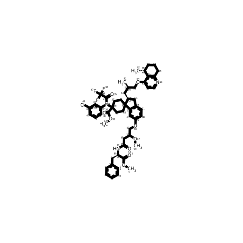 COC(=O)[C@@H](Cc1ccccc1)NC(=O)CC(COc1ccc2c(c1)C1(CCC(C(=O)OC)(N(C(=O)C(F)(F)F)c3cccc(Cl)c3)CC1)[C@@H](C[C@@H](C)COc1ccnc3c1[C@H](C)CCC3)C2)OC